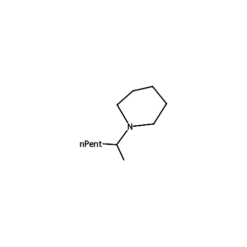 CCCCCC(C)N1CCCCC1